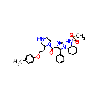 Cc1ccc(OCCC2CNCCN2C(=O)c2ncn([C@H]3CCCC[C@@H]3NS(C)(=O)=O)c2-c2ccccc2)cc1